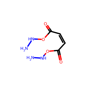 NNOC(=O)/C=C\C(=O)ONN